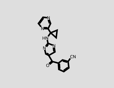 N#Cc1cccc(C(=O)c2cnc(NC3(c4cnccn4)CC3)nc2)c1